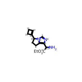 CCOC(=O)C(N)c1ncn2c1CCC2C1=CCC1